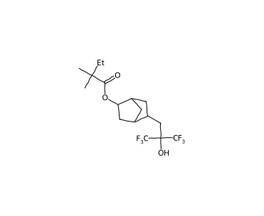 CCC(C)(C)C(=O)OC1CC2CC1CC2CC(O)(C(F)(F)F)C(F)(F)F